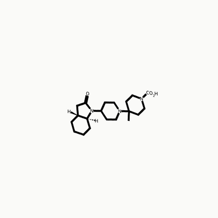 CC1(N2CCC(N3C(=O)C[C@H]4CCCC[C@@H]43)CC2)CCN(C(=O)O)CC1